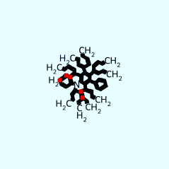 C=C/C=C\C(=C/C=C)c1c(C(/C=C\C=C)=C/C=C)c(-c2ccccc2)c(C(/C=C\C=C)=C/C=C)c(N(C(/C=C\C=C)=C/C=C)c2ccccc2)c1C(/C=C\C=C)=C/C=C